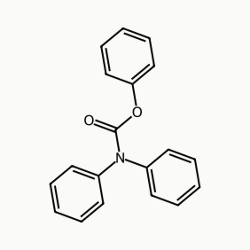 O=C(Oc1ccccc1)N(c1ccccc1)c1ccccc1